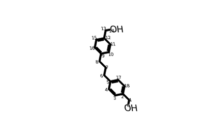 OCc1ccc(CCCc2ccc(CO)cc2)cc1